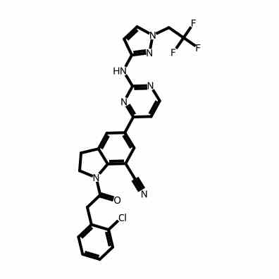 N#Cc1cc(-c2ccnc(Nc3ccn(CC(F)(F)F)n3)n2)cc2c1N(C(=O)Cc1ccccc1Cl)CC2